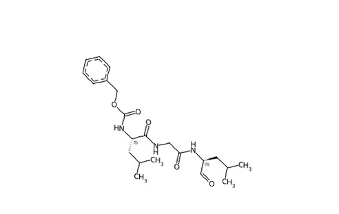 CC(C)C[C@@H](C=O)NC(=O)CNC(=O)[C@H](CC(C)C)NC(=O)OCc1ccccc1